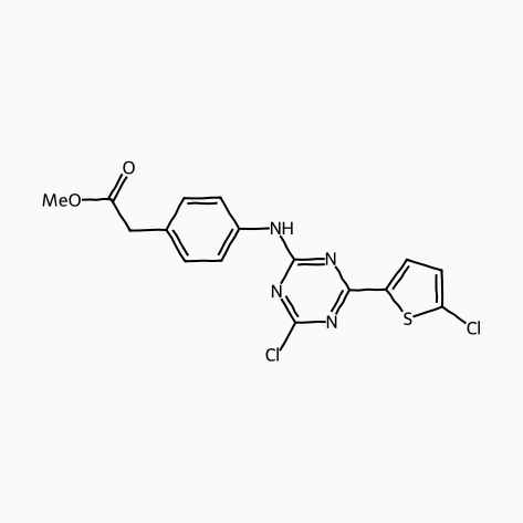 COC(=O)Cc1ccc(Nc2nc(Cl)nc(-c3ccc(Cl)s3)n2)cc1